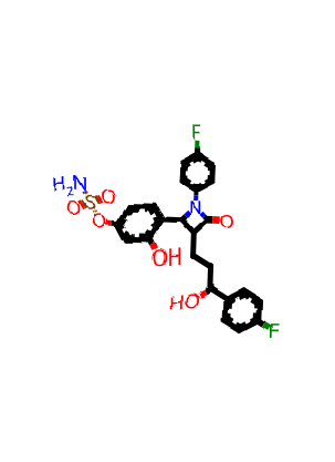 NS(=O)(=O)Oc1ccc(C2C(CCC(O)c3ccc(F)cc3)C(=O)N2c2ccc(F)cc2)c(O)c1